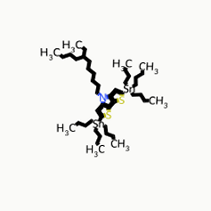 CCCCC(CC)CCCCCCn1c2c[c]([Sn]([CH2]CCC)([CH2]CCC)[CH2]CCC)sc2c2s[c]([Sn]([CH2]CCC)([CH2]CCC)[CH2]CCC)cc21